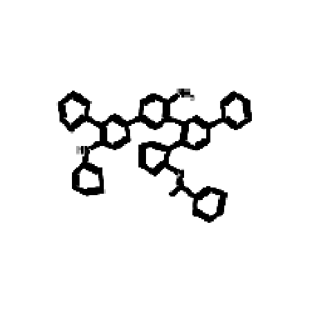 C/C(=N\c1ccccc1-c1ccc(-c2ccccc2)cc1-c1cc(-c2ccc(Nc3ccccc3)c(-c3ccccc3)c2)ccc1N)c1ccccc1